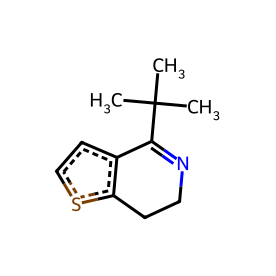 CC(C)(C)C1=NCCc2sccc21